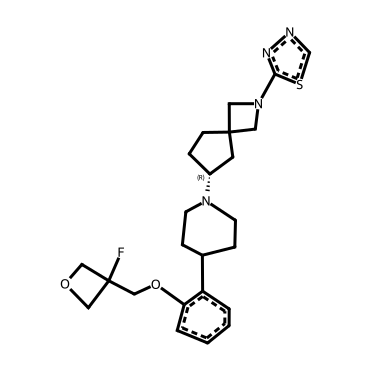 FC1(COc2ccccc2C2CCN([C@@H]3CCC4(C3)CN(c3nncs3)C4)CC2)COC1